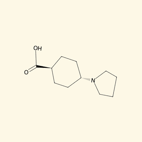 O=C(O)[C@H]1CC[C@H](N2CCCC2)CC1